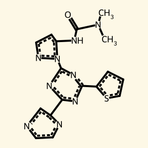 CN(C)C(=O)Nc1ccnn1-c1nc(-c2cnccn2)nc(-c2cccs2)n1